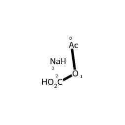 CC(=O)OC(=O)O.[NaH]